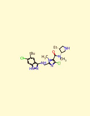 CC[C@@H]1CNC[C@@H]1N(C)C(=O)c1c(Cl)nc(CNc2n[nH]c3cc(Cl)c(C(C)(C)C)cc23)n1C